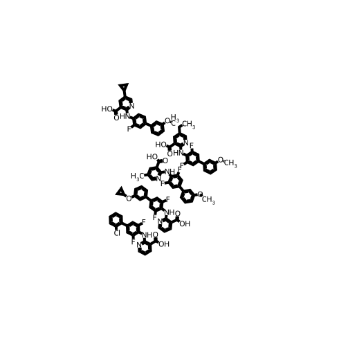 CCc1cnc(Nc2c(F)cc(-c3cccc(OC)c3)cc2F)c(C(=O)O)c1.COc1cccc(-c2cc(F)c(Nc3ncc(C)cc3C(=O)O)c(F)c2)c1.COc1cccc(-c2ccc(Nc3ncc(C4CC4)cc3C(=O)O)c(F)c2)c1.O=C(O)c1cccnc1Nc1c(F)cc(-c2cccc(OC3CC3)c2)cc1F.O=C(O)c1cccnc1Nc1c(F)cc(-c2ccccc2Cl)cc1F